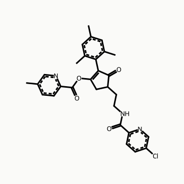 Cc1ccc(C(=O)OC2=C(c3c(C)cc(C)cc3C)C(=O)C(CCNC(=O)c3ccc(Cl)cn3)C2)nc1